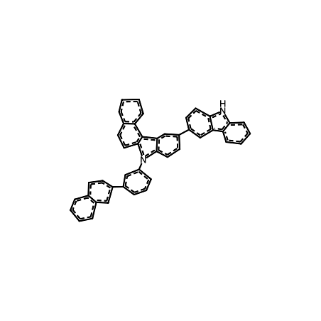 c1cc(-c2ccc3ccccc3c2)cc(-n2c3ccc(-c4ccc5[nH]c6ccccc6c5c4)cc3c3c4ccccc4ccc32)c1